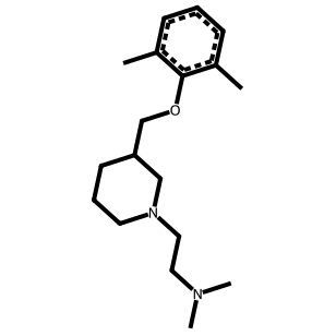 Cc1cccc(C)c1OCC1CCCN(CCN(C)C)C1